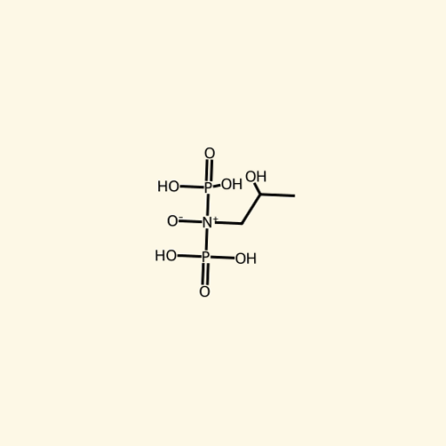 CC(O)C[N+]([O-])(P(=O)(O)O)P(=O)(O)O